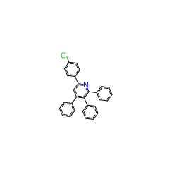 Clc1ccc(-c2cc(-c3ccccc3)c(-c3ccccc3)c(-c3ccccc3)n2)cc1